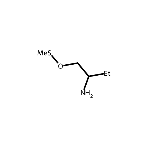 CCC(N)COSC